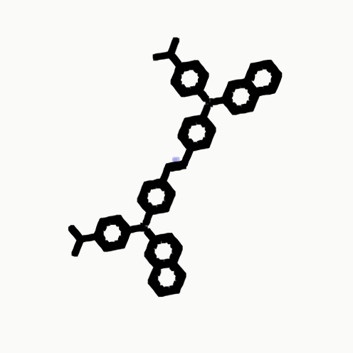 CC(C)c1ccc(N(c2ccc(/C=C/c3ccc(N(c4ccc(C(C)C)cc4)c4ccc5ccccc5c4)cc3)cc2)c2ccc3ccccc3c2)cc1